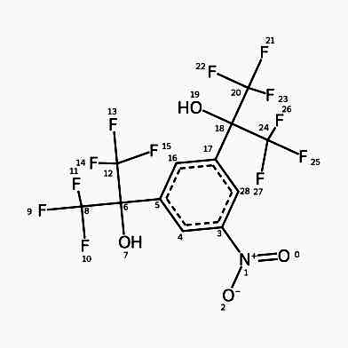 O=[N+]([O-])c1cc(C(O)(C(F)(F)F)C(F)(F)F)cc(C(O)(C(F)(F)F)C(F)(F)F)c1